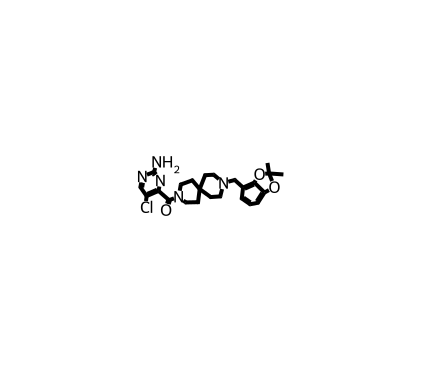 CC1(C)Oc2cccc(CN3CCC4(CC3)CCN(C(=O)c3nc(N)ncc3Cl)CC4)c2O1